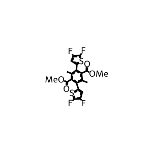 COC(=O)c1c(C)c(-c2cc(F)c(F)s2)c(C(=O)OC)c(C)c1-c1cc(F)c(F)s1